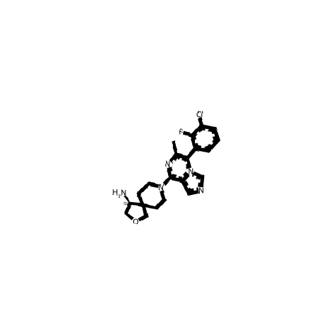 Cc1nc(N2CCC3(CC2)COC[C@H]3N)c2cncn2c1-c1cccc(Cl)c1F